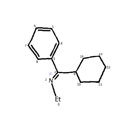 CC/N=C(/c1ccccc1)C1CCCCC1